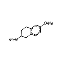 CNC1CCc2cc(OC)ccc2C1